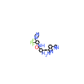 Cc1ccc(C(=O)Nc2ccc(CN3CCN(C)CC3)c(C(F)(F)F)c2)cc1C#Cc1c(N)ncc2c(-c3ccn(C)n3)cccc12